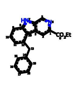 CCOC(=O)c1cc2c(cn1)[nH]c1cccc(Cc3ccccc3)c12